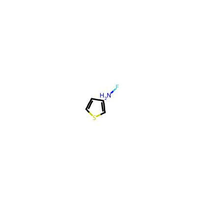 NF.c1ccsc1